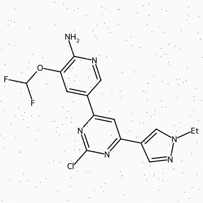 CCn1cc(-c2cc(-c3cnc(N)c(OC(F)F)c3)nc(Cl)n2)cn1